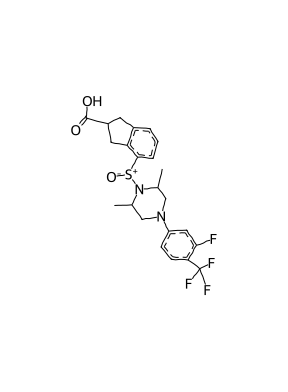 CC1CN(c2ccc(C(F)(F)F)c(F)c2)CC(C)N1[S+]([O-])c1cccc2c1CC(C(=O)O)C2